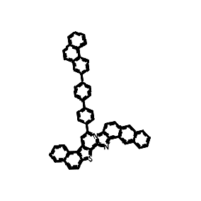 c1ccc2cc3c(ccc4c3nc3c5sc6ccc7ccccc7c6c5cc(-c5ccc(-c6ccc(-c7ccc8c(ccc9ccccc98)c7)cc6)cc5)n43)cc2c1